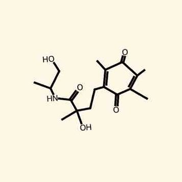 CC1=C(C)C(=O)C(CCC(C)(O)C(=O)NC(C)CO)=C(C)C1=O